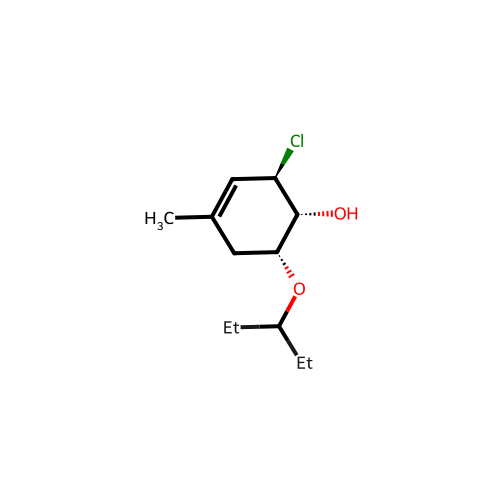 CCC(CC)O[C@@H]1CC(C)=C[C@@H](Cl)[C@@H]1O